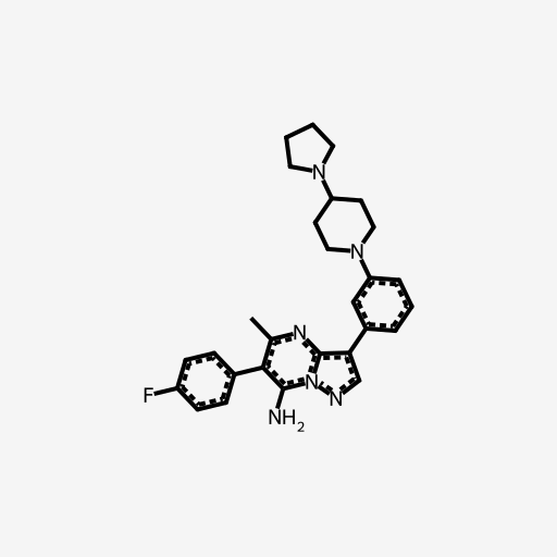 Cc1nc2c(-c3cccc(N4CCC(N5CCCC5)CC4)c3)cnn2c(N)c1-c1ccc(F)cc1